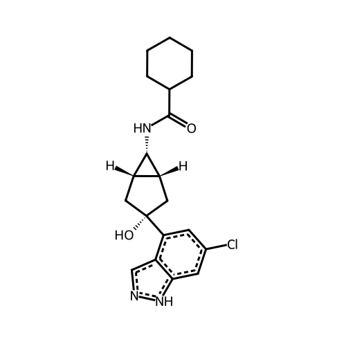 O=C(N[C@@H]1[C@@H]2C[C@@](O)(c3cc(Cl)cc4[nH]ncc34)C[C@@H]21)C1CCCCC1